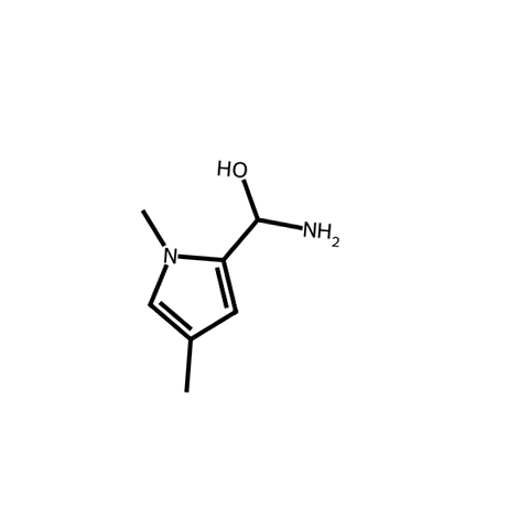 Cc1cc(C(N)O)n(C)c1